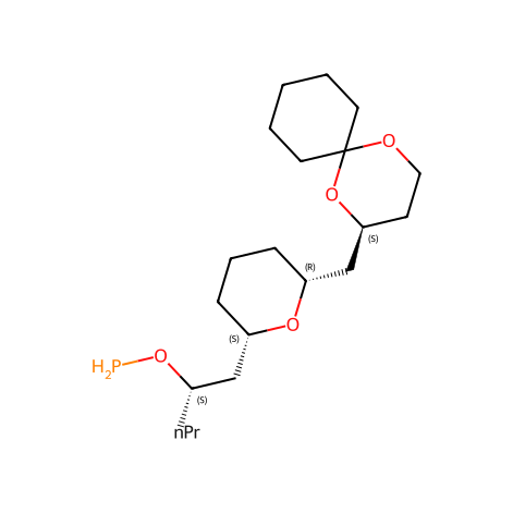 CCC[C@@H](C[C@@H]1CCC[C@H](C[C@@H]2CCOC3(CCCCC3)O2)O1)OP